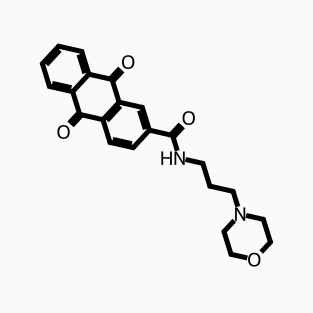 O=C(NCCCN1CCOCC1)c1ccc2c(c1)C(=O)c1ccccc1C2=O